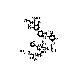 C#CCOc1cc(-n2nc3n(c2=O)CCCC3)c(Cl)cc1Cl.CC1(C)OC(c2ccco2)CN1C(=O)C(Cl)Cl.CCc1cccc(CC)c1N(COC)C(=O)CCl.O=C(O)CNCP(=O)(O)O